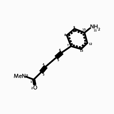 CNC(=O)C#CC#Cc1ccc(N)cc1